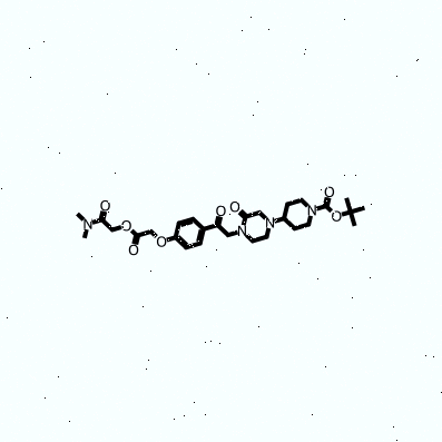 CN(C)C(=O)COC(=O)COc1ccc(C(=O)CN2CCN(C3CCN(C(=O)OC(C)(C)C)CC3)CC2=O)cc1